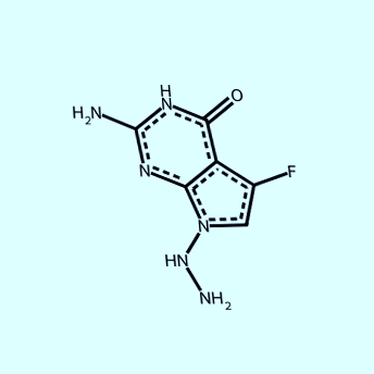 NNn1cc(F)c2c(=O)[nH]c(N)nc21